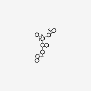 CC1(C)c2ccc(-c3ccc(-c4cc(-c5ccc6c(c5)sc5ccccc56)nc(-c5ccccc5)n4)c4ccccc34)cc2-c2ccc3ccccc3c21